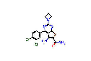 NC(=O)c1sc2nc(N3CCC3)nc(-c3ccc(Cl)c(Cl)c3)c2c1N